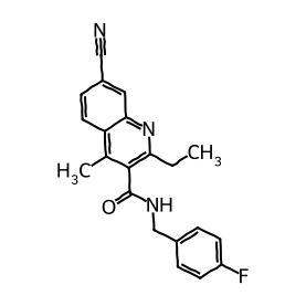 CCc1nc2cc(C#N)ccc2c(C)c1C(=O)NCc1ccc(F)cc1